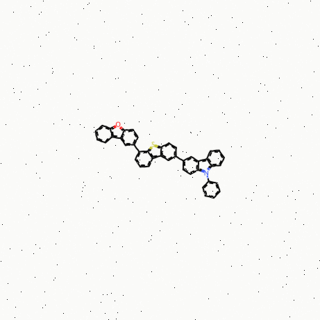 c1ccc(-n2c3ccccc3c3cc(-c4ccc5sc6c(-c7ccc8oc9ccccc9c8c7)cccc6c5c4)ccc32)cc1